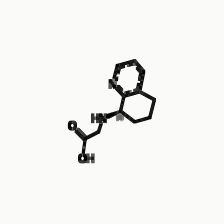 O=C(O)CN[C@@H]1CCCc2cccnc21